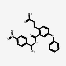 CC(NC(=O)c1cc(Oc2ccccc2)ccc1CCC(=O)O)c1ccc([N+](=O)[O-])cc1